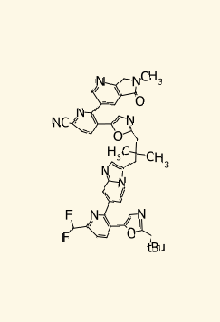 CN1Cc2ncc(-c3nc(C#N)ccc3-c3cnc(CC(C)(C)Cc4cnc5cc(-c6nc(C(F)F)ccc6-c6cnc(CC(C)(C)C)o6)ccn45)o3)cc2C1=O